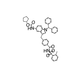 Cc1ccccc1S(=O)(=O)NC(=O)c1ccc(Cc2cn(C(c3ccccc3)c3ccccc3)c3ccc(NC(=O)OC4CCCC4)cc23)cc1